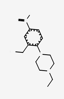 CCN1CCN(c2ccc([N+](=O)[O-])cc2CO)CC1